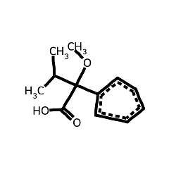 COC(C(=O)O)(c1ccccc1)C(C)C